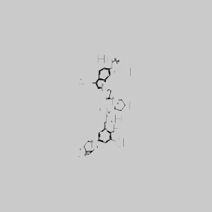 CC(=O)c1cn(CC(=O)N2C[C@H](F)C[C@H]2C(=O)NCc2cc(N3CC4CC3CN4C)cc(Cl)c2F)c2cc(P(=O)(O)O)ccc12